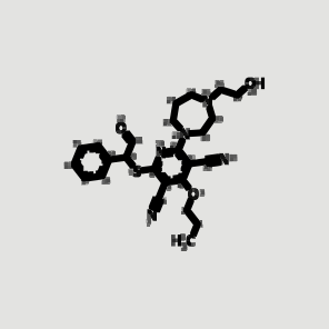 CCCOc1c(C#N)c(SC(C=O)c2ccccc2)nc(N2CCCN(CCO)CC2)c1C#N